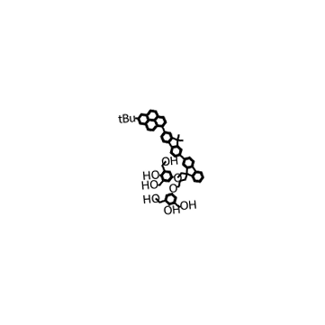 CC(C)(C)c1cc2ccc3ccc(-c4ccc5c(c4)C(C)(C)c4cc(-c6ccc7c(c6)C(CCCOc6cc(CO)c(O)c(CO)c6)(COc6cc(CO)c(O)c(CO)c6)c6ccccc6-7)ccc4-5)c4ccc(c1)c2c34